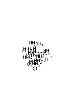 N=C(N)NCCC[C@H](NC(=O)[C@H](CCCNC(=N)N)NC(=O)[C@H](CCCN)NC(=O)CNC(=O)[C@@H](N)Cc1ccccc1)C(=O)N[C@@H](CN)C(=O)O